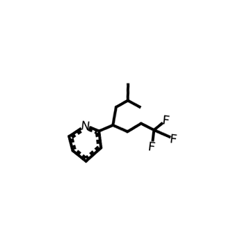 CC(C)CC(CCC(F)(F)F)c1ccccn1